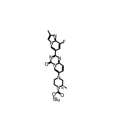 Cc1cn2cc(-c3nc(=O)n4cc(N5CCN(C(=O)OC(C)(C)C)[C@H](C)C5)ccc4n3)cc(F)c2n1